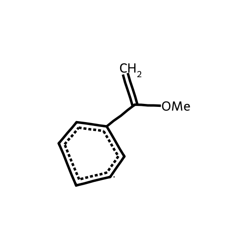 C=C(OC)c1c[c]ccc1